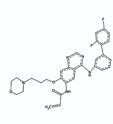 C=CC(=O)Nc1cc2c(Nc3cccc(-c4ccc(F)cc4F)c3)ncnc2cc1OCCCN1CCOCC1